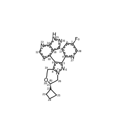 Fc1ccc(-c2nn3c(c2-c2ccnc4[nH]ncc24)CO[C@H](C2CCC2)C3)nc1